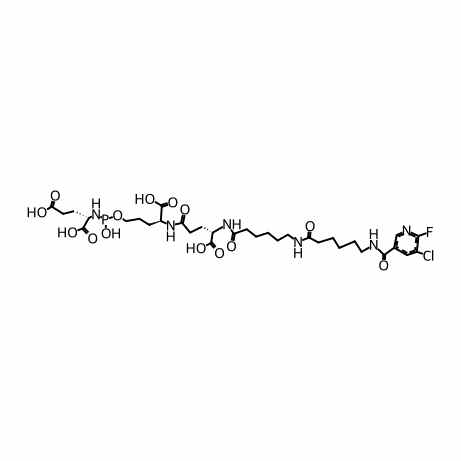 O=C(O)CC[C@H](NP(O)OCCC[C@H](NC(=O)CC[C@H](NC(=O)CCCCCNC(=O)CCCCCNC(=O)c1cnc(F)c(Cl)c1)C(=O)O)C(=O)O)C(=O)O